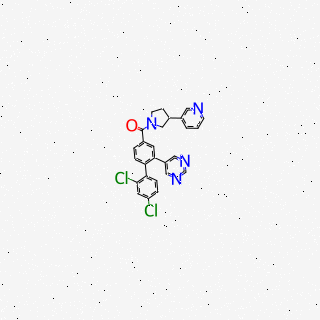 O=C(c1ccc(-c2ccc(Cl)cc2Cl)c(-c2cncnc2)c1)N1CCC(c2cccnc2)C1